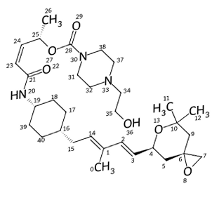 CC(/C=C/[C@@H]1C[C@]2(CO2)CC(C)(C)O1)=C\C[C@H]1CC[C@@H](NC(=O)/C=C\[C@H](C)OC(=O)N2CCN(CCO)CC2)CC1